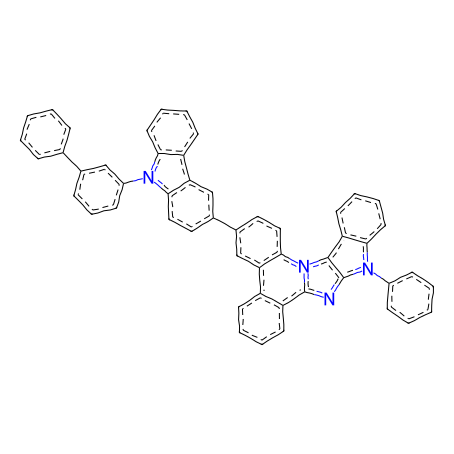 c1ccc(-c2cccc(-n3c4ccccc4c4cc(-c5ccc6c(c5)c5ccccc5c5nc7c(c8ccccc8n7-c7ccccc7)n65)ccc43)c2)cc1